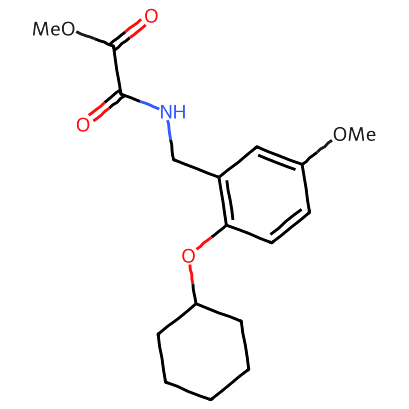 COC(=O)C(=O)NCc1cc(OC)ccc1OC1CCCCC1